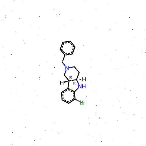 Brc1cccc2c1N[C@@H]1CCN(Cc3ccccc3)C[C@@H]21